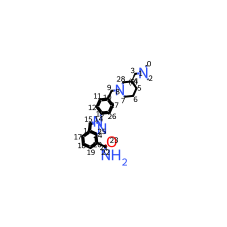 CN(C)C[C@H]1CCCN(Cc2ccc(-n3cc4cccc(C(N)=O)c4n3)cc2)C1